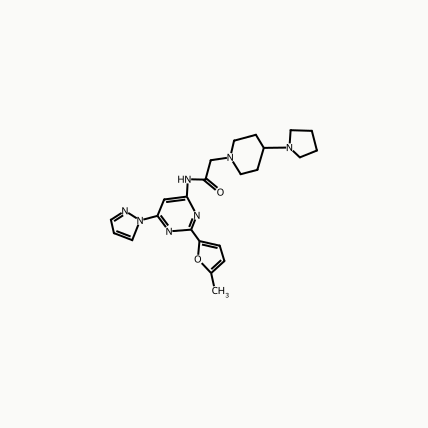 Cc1ccc(-c2nc(NC(=O)CN3CCC(N4CCCC4)CC3)cc(-n3cccn3)n2)o1